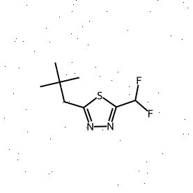 CC(C)(C)Cc1nnc(C(F)F)s1